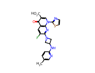 Cc1ccc(NC2CN(c3nc4c(cc3F)c(=O)c(C(=O)O)cn4-c3nccs3)C2)nc1